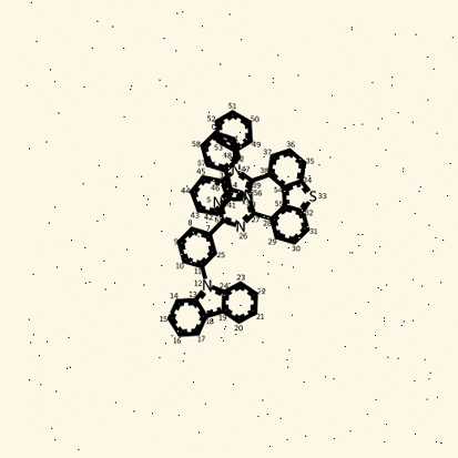 c1ccc(-c2nc(-c3cccc(-n4c5ccccc5c5ccccc54)c3)nc(-c3cccc4sc5cccc(-c6nc7ccccc7n6-c6ccccc6)c5c34)n2)cc1